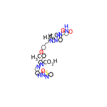 Cc1c(OC2CCC(CCCN3CCN(c4cccc5c(C6CCC(=O)NC6=O)nn(C)c45)CC3C)CC2)cccc1-c1ccc(N2CCc3cccc(C(=O)Nc4nc5ccccc5s4)c3C2)nc1C(=O)O